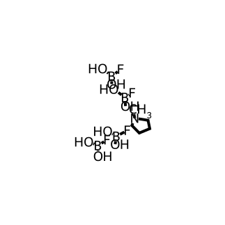 CN1CCCC1.OB(O)F.OB(O)F.OB(O)F.OB(O)F